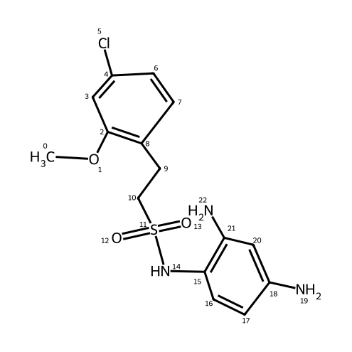 COc1cc(Cl)ccc1CCS(=O)(=O)Nc1ccc(N)cc1N